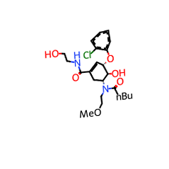 CCCCC(=O)N(CCOC)[C@@H]1CC(C(=O)NCCO)=C[C@H](Oc2ccccc2Cl)[C@H]1O